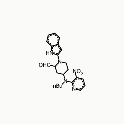 CCCCN(c1ncccc1[N+](=O)[O-])C1CCN(c2cc3ccccc3[nH]2)C(C=O)C1